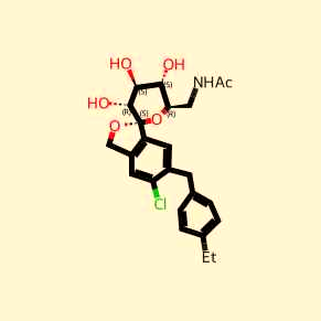 CCc1ccc(Cc2cc3c(cc2Cl)CO[C@]32O[C@H](CNC(C)=O)[C@@H](O)[C@H](O)[C@H]2O)cc1